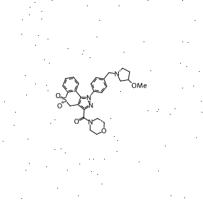 COC1CCN(Cc2ccc(-n3nc(C(=O)N4CCOCC4)c4c3-c3ccccc3S(=O)(=O)C4)cc2)C1